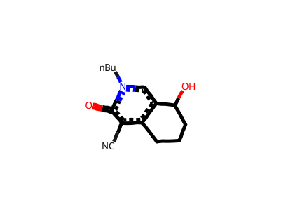 CCCCn1cc2c(c(C#N)c1=O)CCCC2O